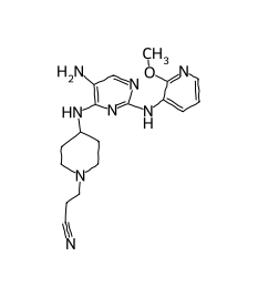 COc1ncccc1Nc1ncc(N)c(NC2CCN(CCC#N)CC2)n1